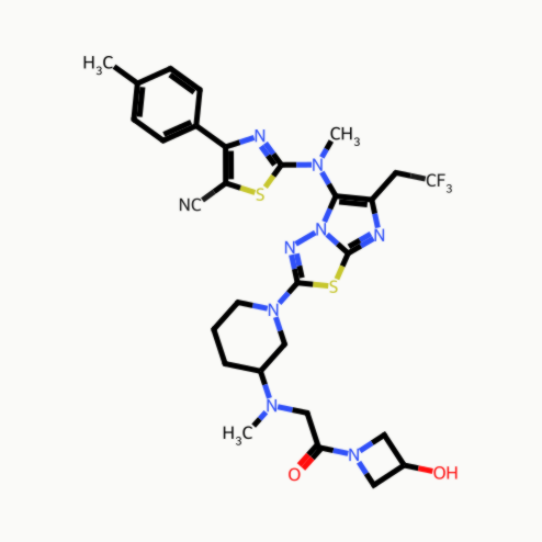 Cc1ccc(-c2nc(N(C)c3c(CC(F)(F)F)nc4sc(N5CCCC(N(C)CC(=O)N6CC(O)C6)C5)nn34)sc2C#N)cc1